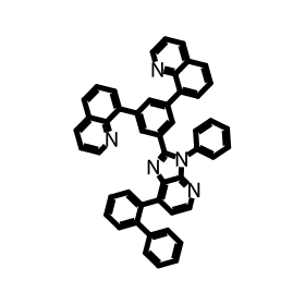 c1ccc(-c2ccccc2-c2ccnc3c2nc(-c2cc(-c4cccc5cccnc45)cc(-c4cccc5cccnc45)c2)n3-c2ccccc2)cc1